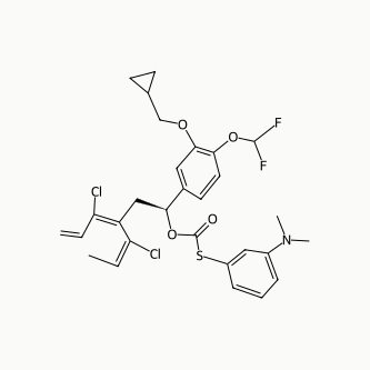 C=C/C(Cl)=C(C[C@H](OC(=O)Sc1cccc(N(C)C)c1)c1ccc(OC(F)F)c(OCC2CC2)c1)\C(Cl)=C/C